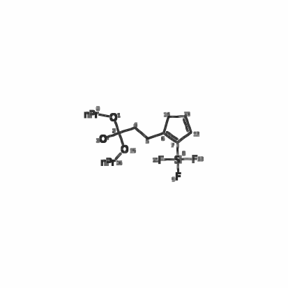 CCCOC([O])(CCC1=C([Si](F)(F)F)C=CC1)OCCC